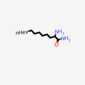 CCCCCCCCCCCCC(N)C(N)=O